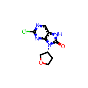 O=c1[nH]c2cnc(Cl)nc2n1[C@@H]1CCOC1